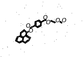 O=COCCOC(=O)c1ccc(C(=O)OC2C=Cc3cccc4cccc2c34)cc1